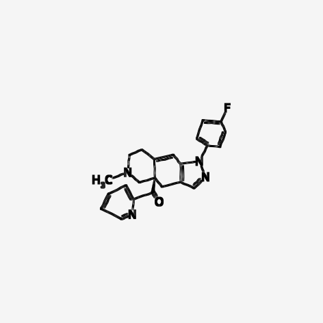 CN1CCC2=Cc3c(cnn3-c3ccc(F)cc3)C[C@]2(C(=O)c2ccccn2)C1